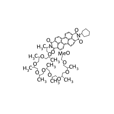 COCCOCC(C)OCC(C)OCC(C)OCC(C)OCC(C)OCC(C)OCC(C)OCC(C)OCC(C)N1C(=O)c2ccc3c4ccc5c6c(ccc(c7ccc(c2c37)C1=O)c64)C(=O)N(C1CCCCC1)C5=O